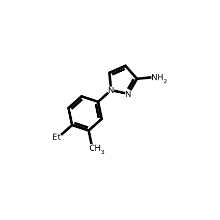 CCc1ccc(-n2ccc(N)n2)cc1C